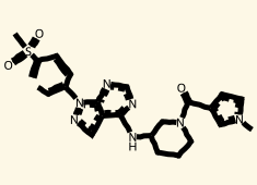 C=C(/C=C\C(=C/C)n1ncc2c(NC3CCCN(C(=O)c4ccn(C)c4)C3)ncnc21)S(C)(=O)=O